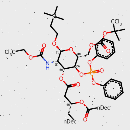 CCCCCCCCCCC[C@H](CC(=O)O[C@@H]1[C@H](NC(=O)OCC(Cl)(Cl)Cl)[C@@H](OCC[Si](C)(C)C)O[C@H](COC(=O)OC(C)(C)C(Cl)(Cl)Cl)[C@H]1OP(=O)(Oc1ccccc1)Oc1ccccc1)OC(=O)CCCCCCCCCC